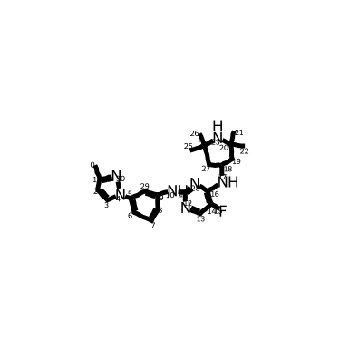 Cc1ccn(-c2cccc(Nc3ncc(F)c(NC4CC(C)(C)NC(C)(C)C4)n3)c2)n1